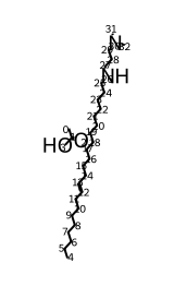 CC(=O)O.CCCCCCCCC=CCCCCCCCCCCCCNCCCN(C)C